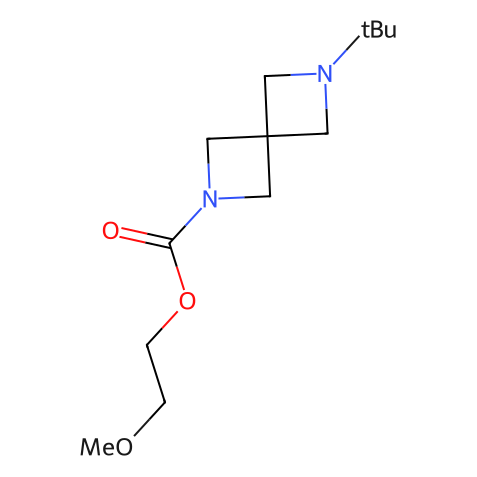 COCCOC(=O)N1CC2(C1)CN(C(C)(C)C)C2